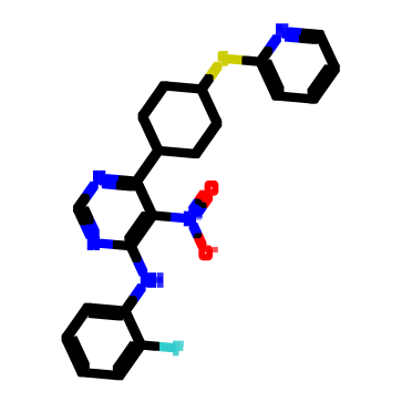 O=[N+]([O-])c1c(Nc2ccccc2F)ncnc1C1CCC(Sc2ccccn2)CC1